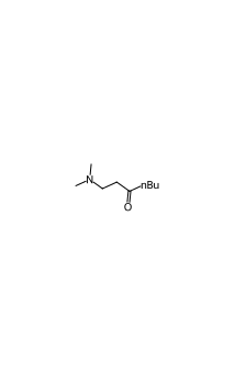 CCCCC(=O)CCN(C)C